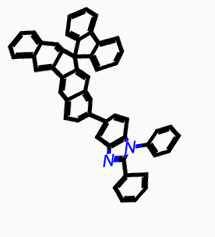 c1ccc(-c2nc3cc(-c4ccc5cc6c(cc5c4)C4(c5ccccc5-c5ccccc54)c4cc5ccccc5cc4-6)ccc3n2-c2ccccc2)cc1